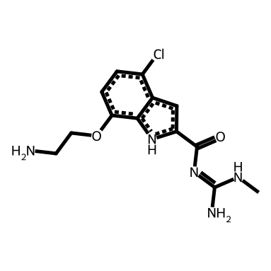 CNC(N)=NC(=O)c1cc2c(Cl)ccc(OCCN)c2[nH]1